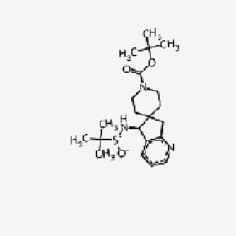 CC(C)(C)OC(=O)N1CCC2(CC1)Cc1ncccc1[C@H]2N[S@+]([O-])C(C)(C)C